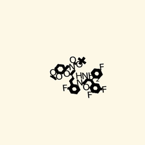 CC(C)(C)OC(=O)N1C[C@@H](CCc2c(F)cccc2NC(=O)[C@@H](N)[C@@H](c2ccc(F)cc2)c2cc(F)cc(F)c2)OC2(CCCC3(C2)OCCO3)C1